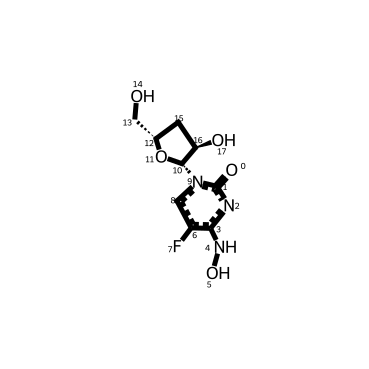 O=c1nc(NO)c(F)cn1[C@@H]1O[C@H](CO)C[C@H]1O